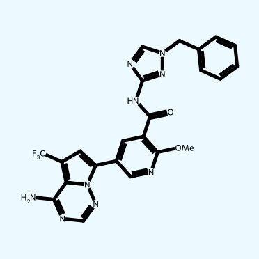 COc1ncc(-c2cc(C(F)(F)F)c3c(N)ncnn23)cc1C(=O)Nc1ncn(Cc2ccccc2)n1